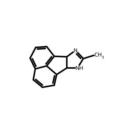 CC1=NC2c3cccc4cccc(c34)C2N1